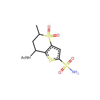 CC(=O)NC1CC(C)S(=O)(=O)c2cc(S(N)(=O)=O)sc21